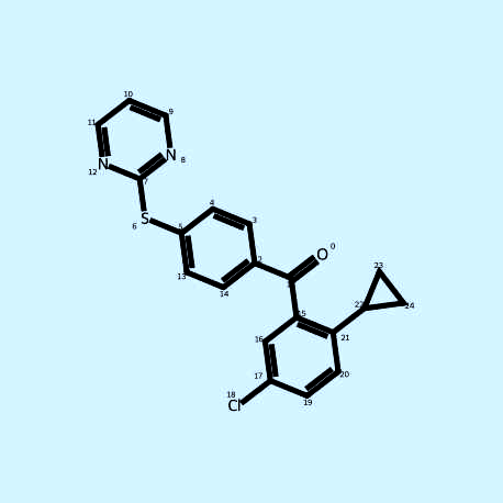 O=C(c1ccc(Sc2ncccn2)cc1)c1cc(Cl)ccc1C1CC1